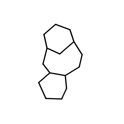 C1CC2CCC3CCCCC3CC(C1)C2